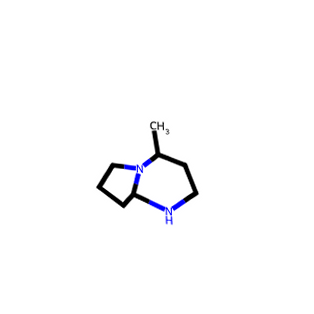 CC1CCNC2CCCN12